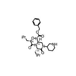 CC(C)C[C@H]1ON(C(=O)OCc2ccccc2)[C@H]2CN(C3CCCNC3)C(=O)[C@H](CC(C)C)N2C1=O